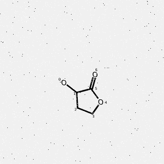 [O]C1CCOC1=O